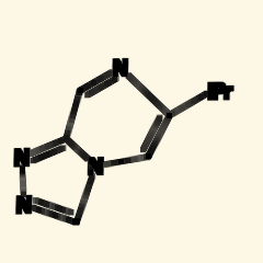 CC(C)c1cn2cnnc2cn1